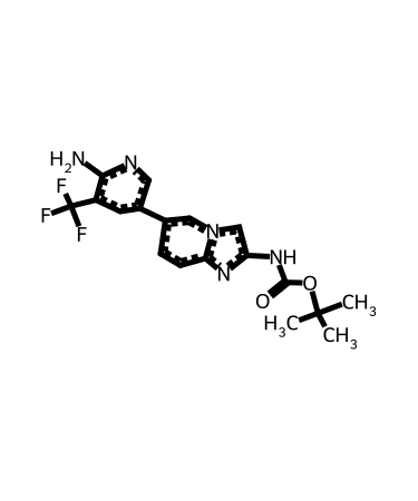 CC(C)(C)OC(=O)Nc1cn2cc(-c3cnc(N)c(C(F)(F)F)c3)ccc2n1